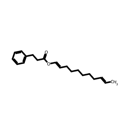 C/C=C/CCCCCC/C=C/OC(=O)CCc1ccccc1